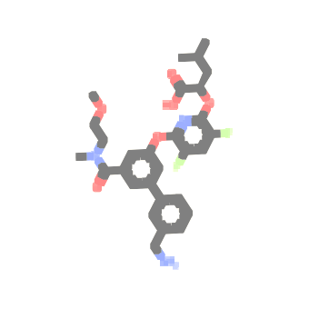 COCCN(C)C(=O)c1cc(Oc2nc(O[C@H](CC(C)C)C(=O)O)c(F)cc2F)cc(-c2cccc(CN)c2)c1